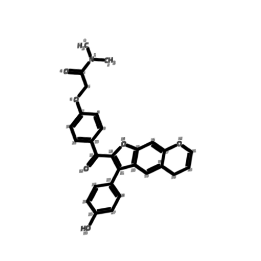 CN(C)C(=O)COc1ccc(C(=O)c2oc3cc4c(cc3c2-c2ccc(O)cc2)CC=CO4)cc1